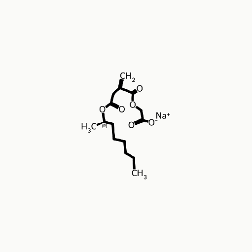 C=C(CC(=O)O[C@H](C)CCCCCC)C(=O)OCC(=O)[O-].[Na+]